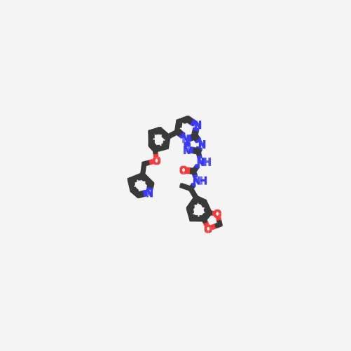 CC(NC(=O)Nc1nc2nccc(-c3cccc(OCc4cccnc4)c3)n2n1)c1ccc2c(c1)OCO2